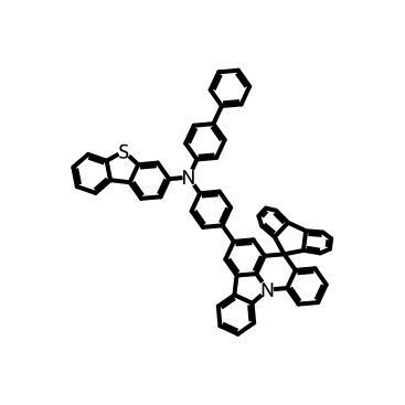 c1ccc(-c2ccc(N(c3ccc(-c4cc5c6c(c4)c4ccccc4n6-c4ccccc4C54c5ccccc5-c5ccccc54)cc3)c3ccc4c(c3)sc3ccccc34)cc2)cc1